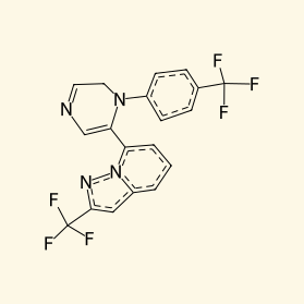 FC(F)(F)c1ccc(N2CC=NC=C2c2cccc3cc(C(F)(F)F)nn23)cc1